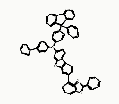 c1ccc(-c2ccc(N(c3ccc(C4(c5ccccc5)c5ccccc5-c5ccccc54)cc3)c3ccc4c(c3)oc3cc(-c5cccc6nc(-c7ccccc7)oc56)ccc34)cc2)cc1